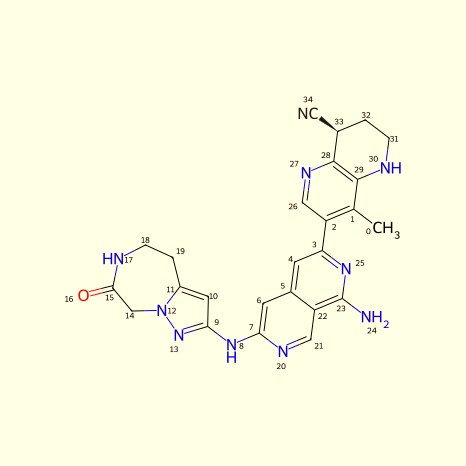 Cc1c(-c2cc3cc(Nc4cc5n(n4)CC(=O)NCC5)ncc3c(N)n2)cnc2c1NCC[C@@H]2C#N